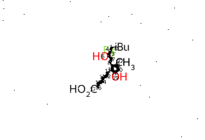 CC[C@H](C)CC(F)(F)C(O)CC[C@@H]1[C@@H](CCCCCCC(=O)O)[C@@H](O)C[C@H]1C